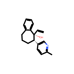 C=C[C@]1(O)c2ccccc2CCC[C@H]1c1ccc(C)nc1